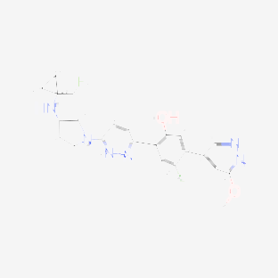 COc1cc(-c2cc(O)c(-c3ccc(N4CC[C@@H](NC5(CF)CC5)C4)nn3)cc2F)cnn1